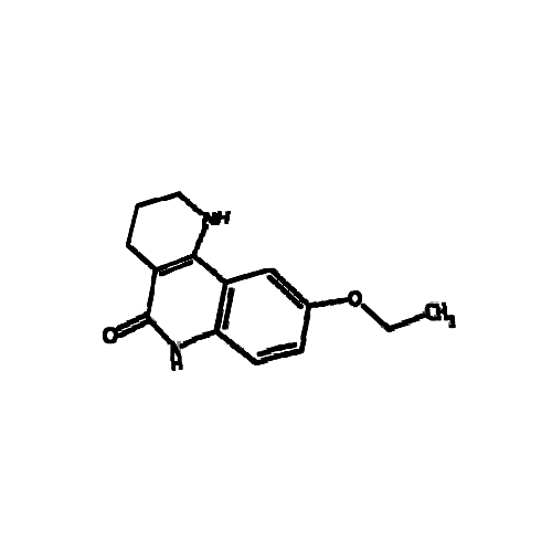 CCOc1ccc2[nH]c(=O)c3c(c2c1)NCCC3